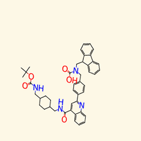 CC(C)(C)OC(=O)NCC1CCC(CNC(=O)c2cc(-c3ccc(CN(CC4c5ccccc5-c5ccccc54)C(=O)O)cc3)nc3ccccc23)CC1